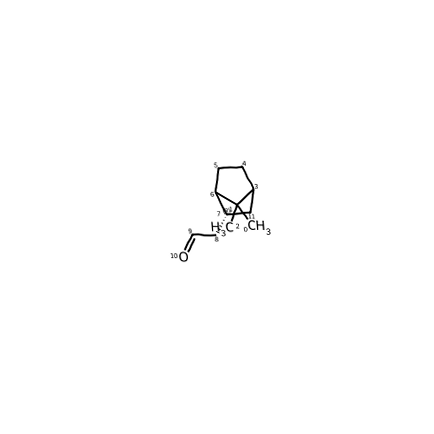 CC1(C)C2CCC1[C@@H](CC=O)C2